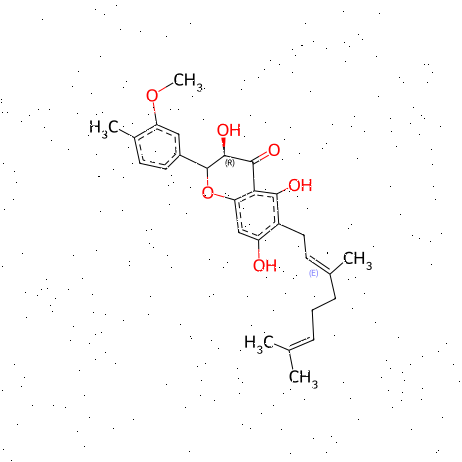 COc1cc(C2Oc3cc(O)c(C/C=C(\C)CCC=C(C)C)c(O)c3C(=O)[C@@H]2O)ccc1C